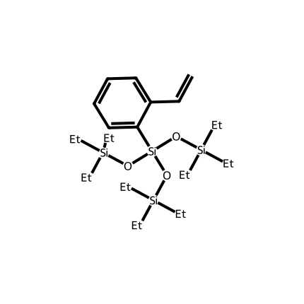 C=Cc1ccccc1[Si](O[Si](CC)(CC)CC)(O[Si](CC)(CC)CC)O[Si](CC)(CC)CC